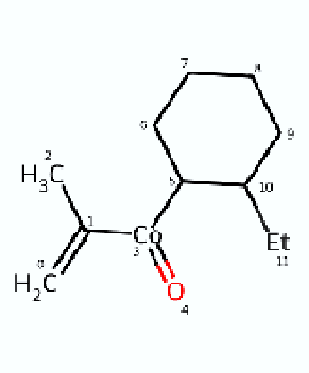 C=[C](C)[Co](=[O])[CH]1CCCCC1CC